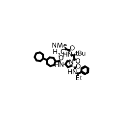 CC[C@@H](NC(=O)[C@@H]1C[C@H](NC(=O)C2CCCC(C3CCCCCC3)CC2)CN1C(=O)C(NC(=O)[C@H](C)NC)C(C)(C)C)c1ccccc1